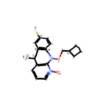 [O-][n+]1cccc2c1N(OCC1CCC1)c1ccc(F)cc1C2C(F)(F)F